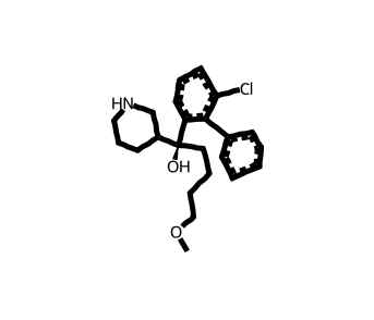 COCCCC[C@@](O)(c1cccc(Cl)c1-c1ccccc1)C1CCCNC1